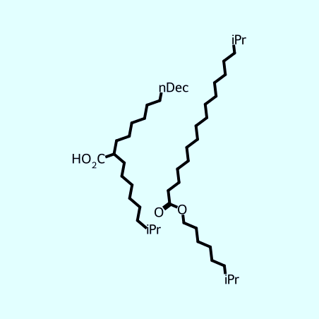 CC(C)CCCCCCCCCCCCCCC(=O)OCCCCCCC(C)C.CCCCCCCCCCCCCCCCC(CCCCCCC(C)C)C(=O)O